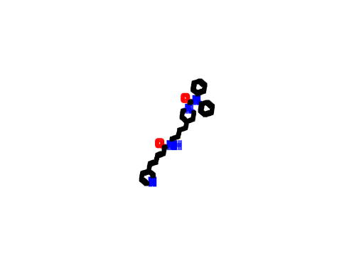 O=C(C=CC=Cc1cccnc1)NCCCCC1CCN(C(=O)N(c2ccccc2)c2ccccc2)CC1